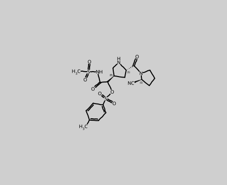 Cc1ccc(S(=O)(=O)OC(C(=O)NS(C)(=O)=O)[C@H]2CN[C@H](C(=O)N3CCC[C@H]3C#N)C2)cc1